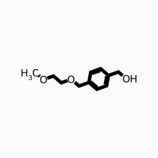 COCCOCc1ccc(CO)cc1